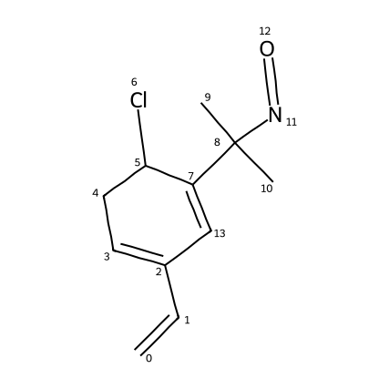 C=CC1=CCC(Cl)C(C(C)(C)N=O)=C1